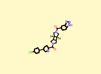 O=C(c1ccc2[nH]nnc2c1)N1C[C@@H]2C3CN(C(=O)c4ccc(-c5ccc(Cl)cc5)cn4)CC3[C@@H]2C1